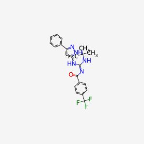 CC(C)(C)N/C(=N/C(=O)c1ccc(C(F)(F)F)cc1)Nc1cc(-c2ccccc2)n[nH]1